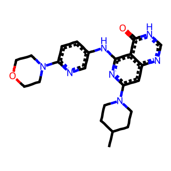 CC1CCN(c2cc3nc[nH]c(=O)c3c(Nc3ccc(N4CCOCC4)nc3)n2)CC1